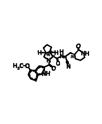 COc1cccc2[nH]c(C(=O)N3C[C@@H]4CCC[C@@H]4[C@H]3C(=O)N[C@H](C#N)C[C@@H]3CCCNC3=O)cc12